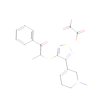 CC(Sc1nsnc1C1=CCCN(C)C1)C(=O)c1ccccc1.O=C(O)C(=O)O